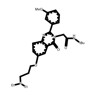 CCN(CC)CCCOc1ccc2nc(-c3cccc(OC)c3)n(CC(=O)NC(C)(C)C)c(=O)c2c1